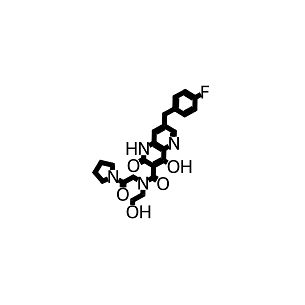 O=C(CN(CCO)C(=O)c1c(O)c2ncc(Cc3ccc(F)cc3)cc2[nH]c1=O)N1CCCC1